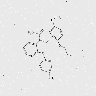 COc1ccc(OCCI)c(CN(C(C)=O)c2cccnc2Oc2ccc(C)cc2)c1